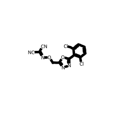 N#CC(C#N)=NOCc1nnc(-c2c(Cl)cccc2Cl)o1